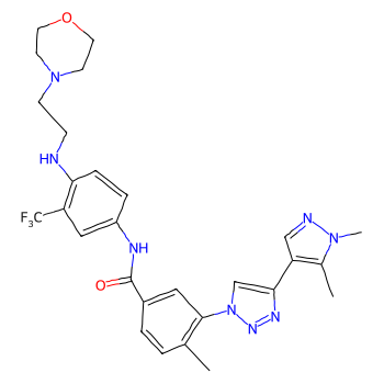 Cc1ccc(C(=O)Nc2ccc(NCCN3CCOCC3)c(C(F)(F)F)c2)cc1-n1cc(-c2cnn(C)c2C)nn1